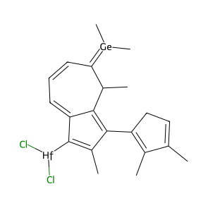 CC1=CCC(C2=C3C(=CC=C[C](=[Ge]([CH3])[CH3])C3C)[C]([Hf]([Cl])[Cl])=C2C)=C1C